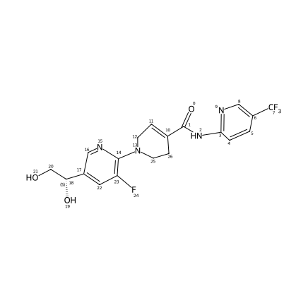 O=C(Nc1ccc(C(F)(F)F)cn1)C1=CCN(c2ncc([C@H](O)CO)cc2F)CC1